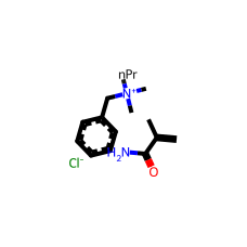 C=C(C)C(N)=O.CCC[N+](C)(C)Cc1ccccc1.[Cl-]